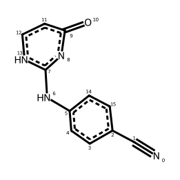 N#Cc1ccc(Nc2nc(=O)cc[nH]2)cc1